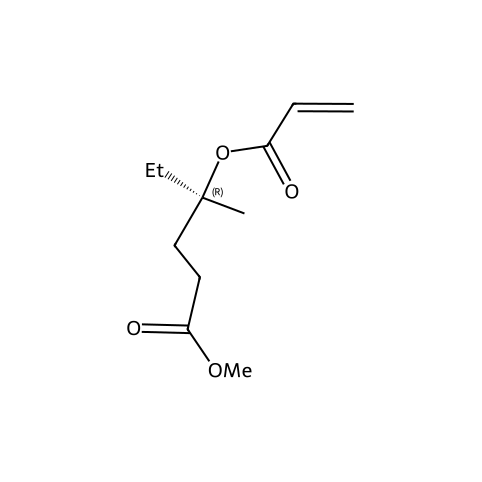 C=CC(=O)O[C@](C)(CC)CCC(=O)OC